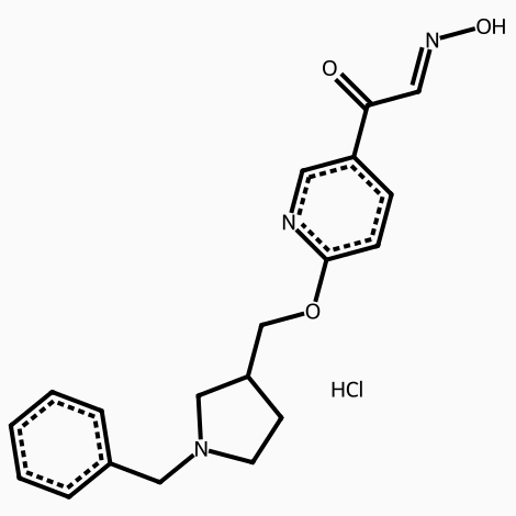 Cl.O=C(C=NO)c1ccc(OCC2CCN(Cc3ccccc3)C2)nc1